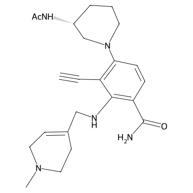 C#Cc1c(N2CCC[C@@H](NC(C)=O)C2)ccc(C(N)=O)c1NCC1=CCN(C)CC1